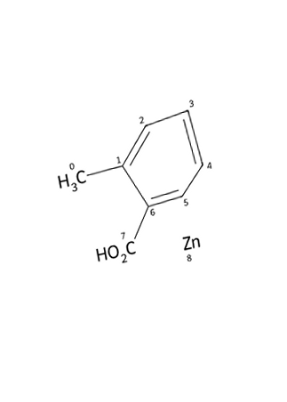 Cc1ccccc1C(=O)O.[Zn]